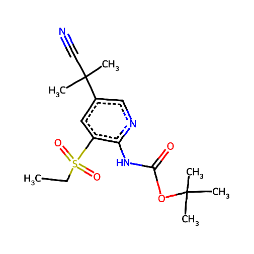 CCS(=O)(=O)c1cc(C(C)(C)C#N)cnc1NC(=O)OC(C)(C)C